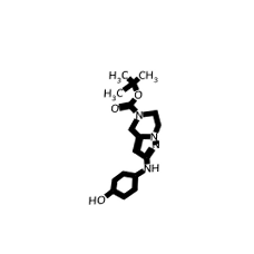 CC(C)(C)OC(=O)N1CCn2nc(NC3CCC(O)CC3)cc2C1